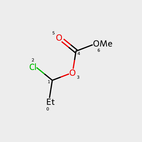 CCC(Cl)OC(=O)OC